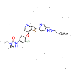 COCCNCc1ccc(-c2cc3nccc(Oc4ccc(NC(=O)N(C(C)C)C(C)C)cc4F)c3s2)nc1